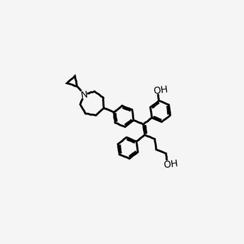 OCCC/C(=C(/c1ccc(C2CCCN(C3CC3)CC2)cc1)c1cccc(O)c1)c1ccccc1